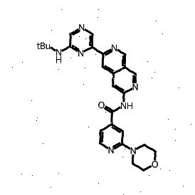 CC(C)(C)Nc1cncc(-c2cc3cc(NC(=O)c4ccnc(N5CCOCC5)c4)ncc3cn2)n1